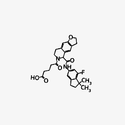 CC1(C)CCc2cc(NC(=O)C3c4cc5c(cc4CCN3C(=O)CCCC(=O)O)OCC5)cc(F)c21